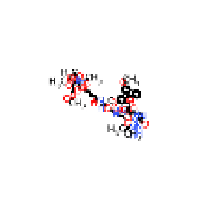 COc1ccc(C(OC[C@H]2O[C@@H](n3cnc4c(=O)[nH]c(NC(=O)C(C)C)nc43)[C@H](OCc3cn(CCOCCNC(=O)CCCCOC4OC(COC(C)=O)C(OC(C)=O)C(OC(C)=O)C4NC(C)=O)nn3)[C@@H]2O)(c2ccccc2)c2ccc(OC)cc2)cc1